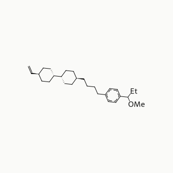 C=C[C@H]1CC[C@H]([C@H]2CC[C@H](CCCCc3ccc(C(CC)OC)cc3)CC2)CC1